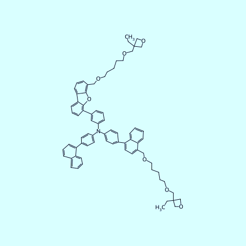 CCC1(COCCCCCOCc2ccc(-c3ccc(N(c4ccc(-c5cccc6ccccc56)cc4)c4cccc(-c5cccc6c5oc5c(COCCCCCOCC7(CC)COC7)cccc56)c4)cc3)c3ccccc23)COC1